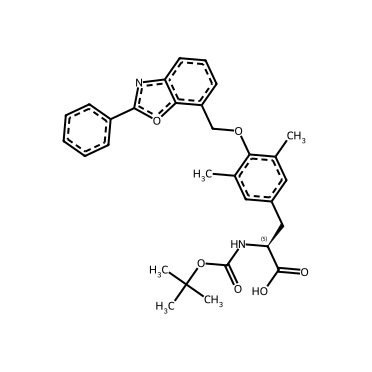 Cc1cc(C[C@H](NC(=O)OC(C)(C)C)C(=O)O)cc(C)c1OCc1cccc2nc(-c3ccccc3)oc12